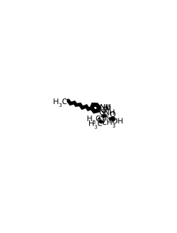 CCCCCCCCCc1ccc(NS(=O)(=O)N[C@H](CC(=O)O)C[N+](C)(C)C)cc1